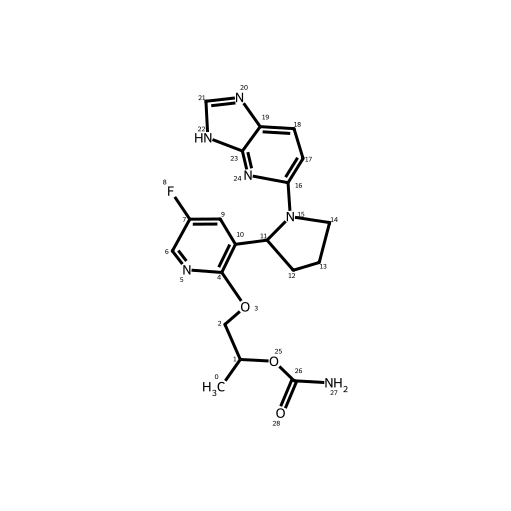 CC(COc1ncc(F)cc1C1CCCN1c1ccc2nc[nH]c2n1)OC(N)=O